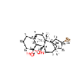 C[C@]12CC[C@H]3[C@@H](CC=C4CCCC(O)(O)[C@@]43C)[C@@H]1C[C@@H](Br)C2